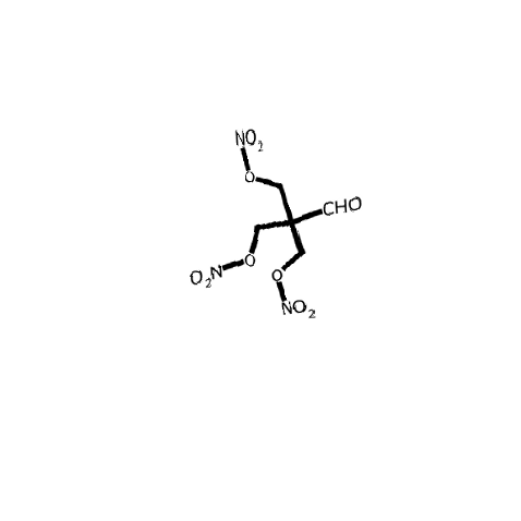 O=CC(CO[N+](=O)[O-])(CO[N+](=O)[O-])CO[N+](=O)[O-]